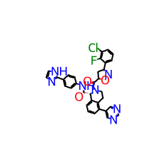 O=C(Nc1ccc(-c2ncc[nH]2)cc1)[C@H]1c2cccc(-c3cncnc3)c2CCN1C(=O)C1CC(c2cccc(Cl)c2F)=NO1